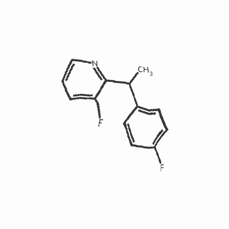 CC(c1ccc(F)cc1)c1ncccc1F